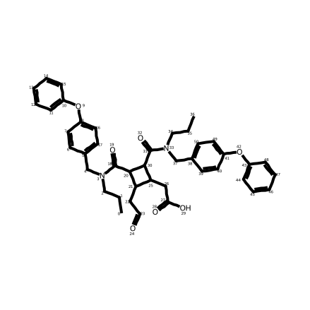 CCCN(Cc1ccc(Oc2ccccc2)cc1)C(=O)C1C(CC=O)C(CC(=O)O)C1C(=O)N(CCC)Cc1ccc(Oc2ccccc2)cc1